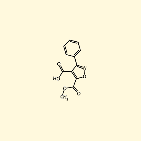 COC(=O)c1onc(-c2ccccc2)c1C(=O)O